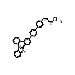 C/C=C\C=C/c1ccc(-c2ccc(-c3ccc4c(c3)c3ccccc3n3c5ccccc5nc43)cc2)cc1